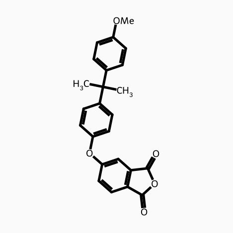 COc1ccc(C(C)(C)c2ccc(Oc3ccc4c(c3)C(=O)OC4=O)cc2)cc1